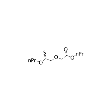 CCCOC(=O)COCC(=S)OCCC